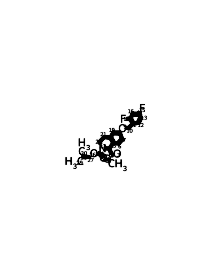 COC(=O)C1c2ccc(OCc3ccc(F)cc3F)cc2CCN1C(=O)OCC(C)C